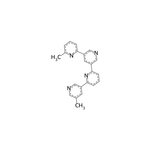 Cc1cncc(-c2cccc(-c3cncc(-c4cccc(C)n4)c3)n2)c1